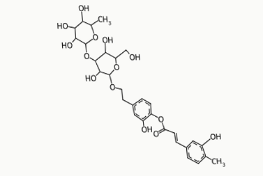 Cc1ccc(/C=C/C(=O)Oc2ccc(CCOC3OC(CO)C(O)C(OC4OC(C)C(O)C(O)C4O)C3O)cc2O)cc1O